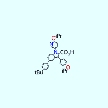 CC(C)Oc1ccc(-c2c(C(=O)O)n(-c3ccc(OC(C)C)nc3)c3ccc(-c4ccc(C(C)(C)C)cc4)cc23)cc1